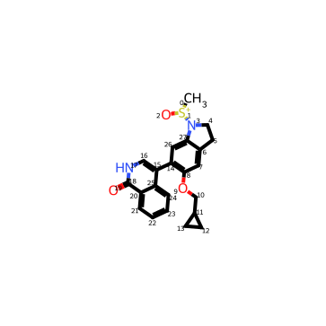 C[S+]([O-])N1CCc2cc(OCC3CC3)c(-c3c[nH]c(=O)c4ccccc34)cc21